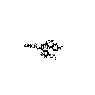 C[C@H](C(=O)Nc1ccc(F)nc1F)[C@H](CN(C)C=O)c1cc(C(F)(F)F)nn1C